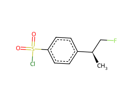 C[C@H](CF)c1ccc(S(=O)(=O)Cl)cc1